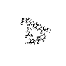 CC1(C)CON(Cc2ccccc2Cl)C1=O.CCOC(=O)C(Cl)Cc1cc(-n2nc(C)n(C(F)F)c2=O)c(F)cc1Cl.CP(=O)(O)CCC(N)C(=O)O